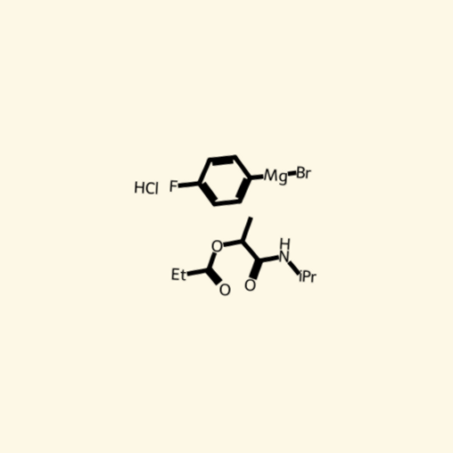 CCC(=O)OC(C)C(=O)NC(C)C.Cl.Fc1cc[c]([Mg][Br])cc1